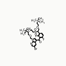 CCCS(=O)(=O)C(COCC[Si](C)(C)C)c1ccc(F)c(C(=O)c2cn(COCC[Si](C)(C)C)c3ncc(Br)cc23)c1F